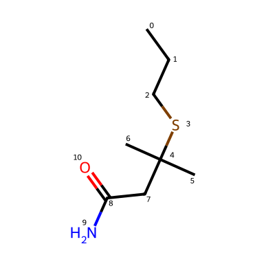 CCCSC(C)(C)CC(N)=O